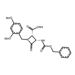 COC(=O)[C@@H]1[C@H](NC(=O)OCc2ccccc2)C(=O)N1Cc1ccc(OC)cc1OC